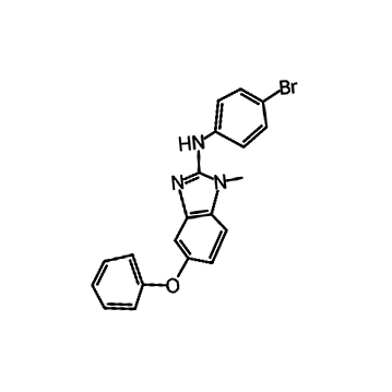 Cn1c(Nc2ccc(Br)cc2)nc2cc(Oc3ccccc3)ccc21